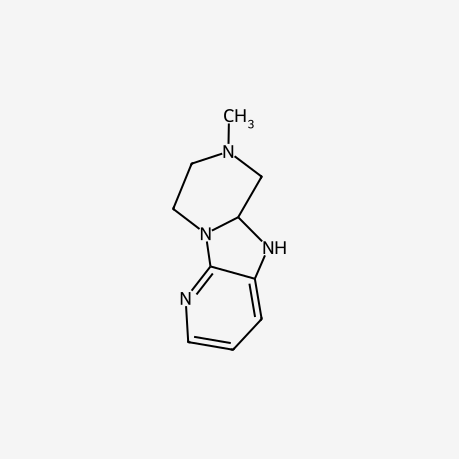 CN1CCN2c3ncccc3NC2C1